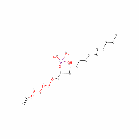 C=COOOOOOCCCCCCCCCCCCCC.O=P(O)(O)O